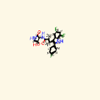 [2H]C(C(=O)N[C@@H]1C(=O)NC[C@H]1O)C([2H])c1c(-c2ccc(F)cc2)[nH]c2c(F)cc(F)cc12